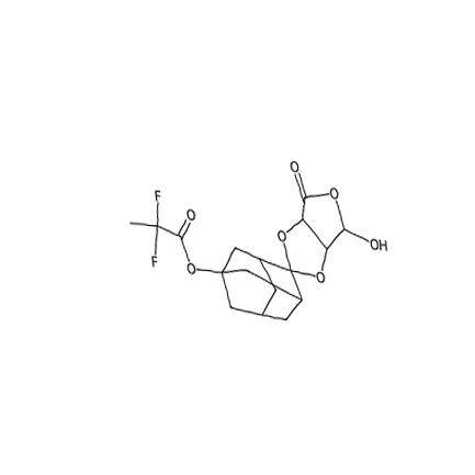 CC(F)(F)C(=O)OC12CC3CC(C1)C1(OC4C(=O)OC(O)C4O1)C(C3)C2